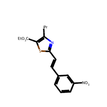 CCOC(=O)c1sc(C=Cc2cccc([N+](=O)[O-])c2)nc1C(C)C